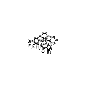 CCn1ncc(C(C(=O)Nc2ccc(Br)c(C(F)(F)F)n2)C(C2CCCCC2)C2CCCCC2)c1C(N)=O